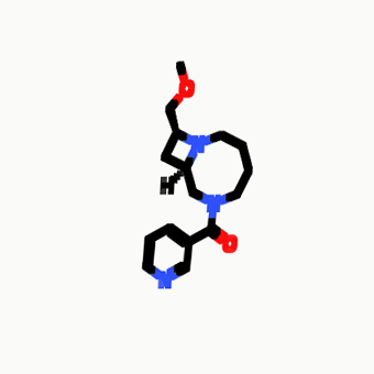 COC[C@@H]1C[C@@H]2CN(C(=O)c3cccnc3)CCCCN12